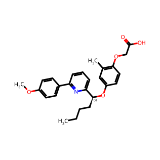 CCCC[C@H](Oc1ccc(OCC(=O)O)c(C)c1)c1cccc(-c2ccc(OC)cc2)n1